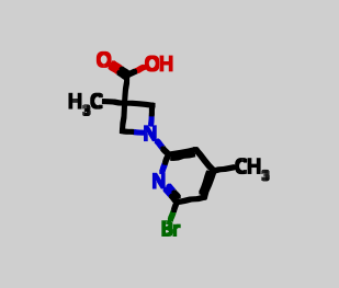 Cc1cc(Br)nc(N2CC(C)(C(=O)O)C2)c1